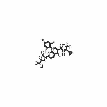 O=C(NC(C1CC1)C(F)(F)F)c1cn(-c2c(F)cc(F)cc2F)c2nc(N3CC(C(=O)Cl)OC3=O)ccc2c1=O